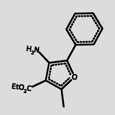 CCOC(=O)c1c(C)oc(-c2ccccc2)c1N